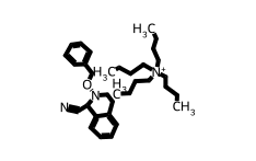 CCCC[N+](CCCC)(CCCC)CCCC.N#CC1c2ccccc2CCN1OCc1ccccc1